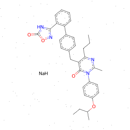 CCCc1nc(C)n(-c2ccc(OC(C)CC)cc2)c(=O)c1Cc1ccc(-c2ccccc2-c2noc(=O)[nH]2)cc1.[NaH]